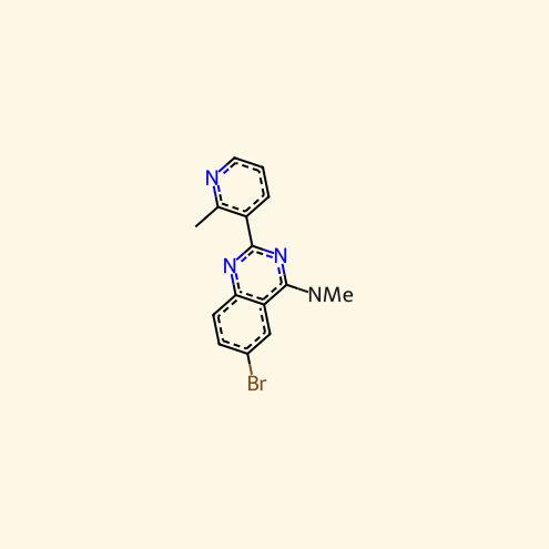 CNc1nc(-c2cccnc2C)nc2ccc(Br)cc12